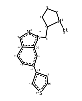 CCN1CCCC1Cn1ncc2ccc(-c3ccsc3)cc21